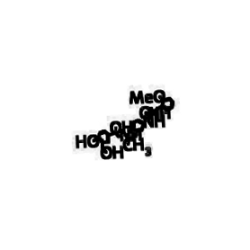 COc1ccccc1CNC(=O)Nc1cccc(C[C@@H](C)NC[C@H](O)c2ccc(O)c(CO)c2)c1